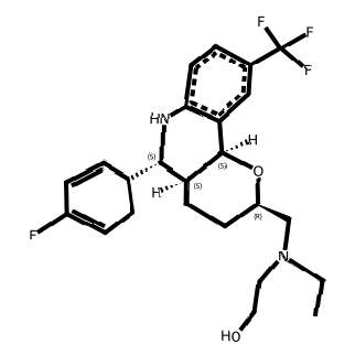 CCN(CCO)C[C@H]1CC[C@@H]2[C@H](O1)c1cc(C(F)(F)F)ccc1N[C@H]2C1C=CC(F)=CC1